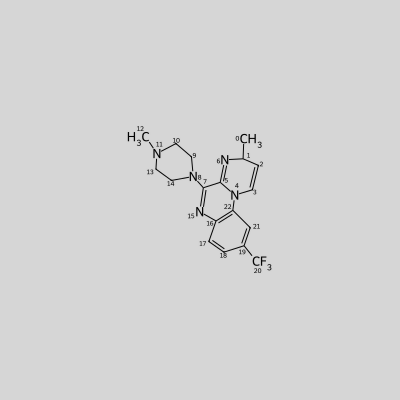 CC1C=CN2C(=N1)C(N1CCN(C)CC1)=Nc1ccc(C(F)(F)F)cc12